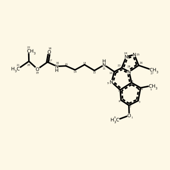 COc1cc(C)c2c(c1)nc(NCCCCNC(=O)OC(C)C)c1nnc(C)n12